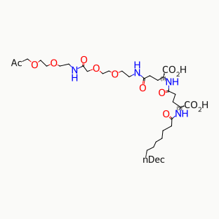 CCCCCCCCCCCCCCCCC(=O)N[C@@H](CCC(=O)N[C@@H](CCC(=O)NCCOCCOCC(=O)NCCOCCOCC(C)=O)C(=O)O)C(=O)O